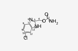 NC(=O)OCc1nc2ccc(Cl)cc2[nH]1